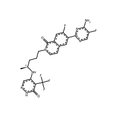 C[C@@H](CCCn1ccc2cc(-c3ncc(F)c(N)n3)c(F)cc2c1=O)Nc1cn[nH]c(=O)c1C(F)(F)F